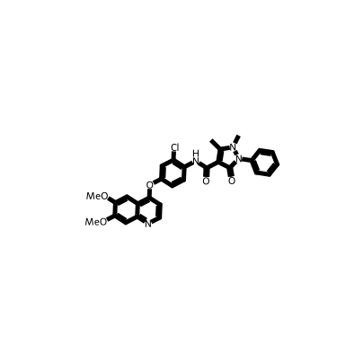 COc1cc2nccc(Oc3ccc(NC(=O)c4c(C)n(C)n(-c5ccccc5)c4=O)c(Cl)c3)c2cc1OC